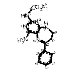 CCOC(=O)Nc1nc(N)c2c(n1)NCCC(c1ccccc1)=N2